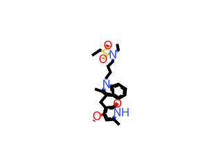 CCN(CCCCn1c(C)c(Cc2c(OC)cc(C)[nH]c2=O)c2ccccc21)S(=O)(=O)CC